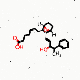 CC(c1ccccc1)C(O)/C=C/[C@H]1[C@@H](C/C=C\CCCC(=O)O)[C@@H]2CC[C@H]1O2